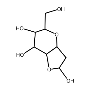 OCC1OC2CC(O)OC2C(O)C1O